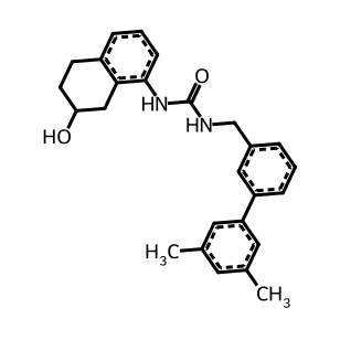 Cc1cc(C)cc(-c2cccc(CNC(=O)Nc3cccc4c3CC(O)CC4)c2)c1